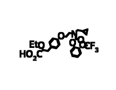 CCOC(Cc1ccc(OCCN(CC2CC2)C(=O)Oc2ccccc2OC(F)(F)F)cc1)C(=O)O